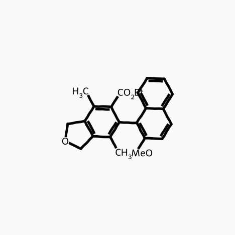 CCOC(=O)c1c(C)c2c(c(C)c1-c1c(OC)ccc3ccccc13)COC2